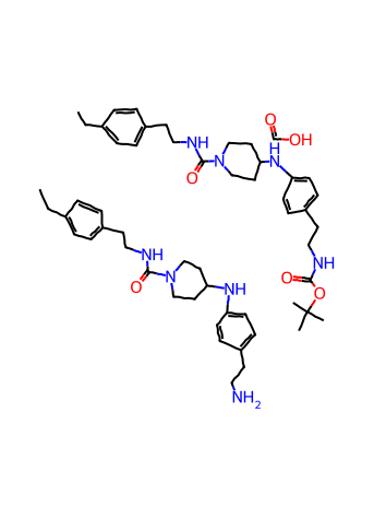 CCc1ccc(CCNC(=O)N2CCC(Nc3ccc(CCN)cc3)CC2)cc1.CCc1ccc(CCNC(=O)N2CCC(Nc3ccc(CCNC(=O)OC(C)(C)C)cc3)CC2)cc1.O=CO